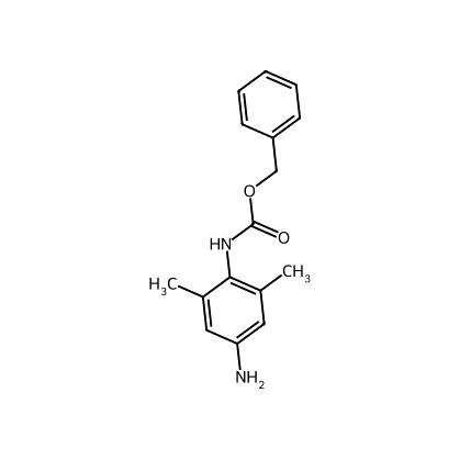 Cc1cc(N)cc(C)c1NC(=O)OCc1ccccc1